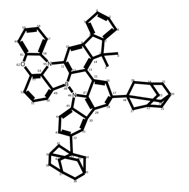 CC1(C)c2ccccc2-c2cc3c4c(c21)-c1cc(C25CC6CC(CC(C6)C2)C5)cc2c5cc(C67CC8CC(CC(C8)C6)C7)ccc5n(c12)B4c1cccc2c1N3c1ccccc1O2